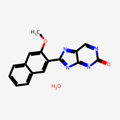 COc1cc2ccccc2cc1C1=NC2=NC(=O)N=CC2=N1.O